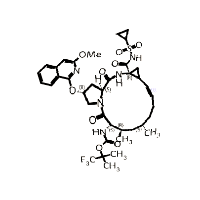 COc1cc2ccccc2c(O[C@@H]2C[C@H]3C(=O)N[C@]4(C(=O)NS(=O)(=O)C5CC5)CC4/C=C\CC[C@H](C)C[C@@H](C)[C@H](NC(=O)OC(C)(C)C(F)(F)F)C(=O)N3C2)n1